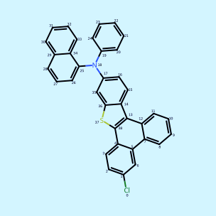 Clc1ccc2c(c1)c1ccccc1c1c3ccc(N(c4ccccc4)c4cccc5ccccc45)cc3sc21